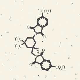 CC1(C)CC(N2C(=O)c3ccc(C(=O)O)cc3C2=O)CC(C)(CN2C(=O)c3ccc(C(=O)O)cc3C2=O)C1